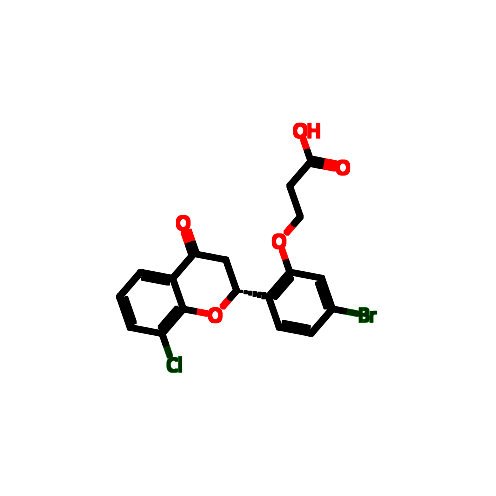 O=C(O)CCOc1cc(Br)ccc1[C@H]1CC(=O)c2cccc(Cl)c2O1